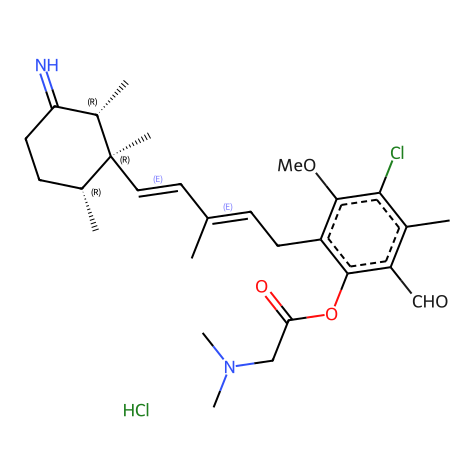 COc1c(Cl)c(C)c(C=O)c(OC(=O)CN(C)C)c1C/C=C(C)/C=C/[C@@]1(C)[C@H](C)CCC(=N)[C@@H]1C.Cl